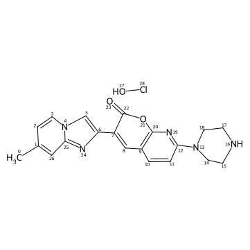 Cc1ccn2cc(-c3cc4ccc(N5CCNCC5)nc4oc3=O)nc2c1.OCl